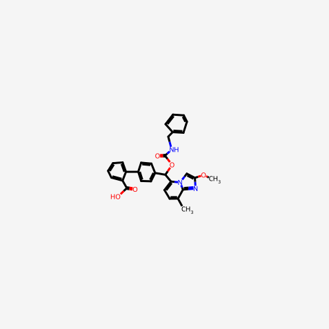 COc1cn2c(C(OC(=O)NCc3ccccc3)c3ccc(-c4ccccc4C(=O)O)cc3)ccc(C)c2n1